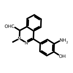 CN1N=C(c2ccc(O)c(N)c2)c2ccccc2C1C=O